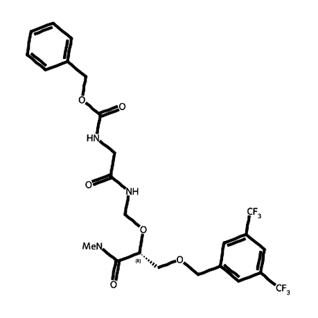 CNC(=O)[C@@H](COCc1cc(C(F)(F)F)cc(C(F)(F)F)c1)OCNC(=O)CNC(=O)OCc1ccccc1